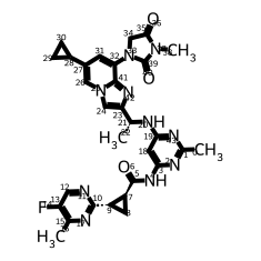 Cc1nc(NC(=O)[C@H]2C[C@@H]2c2ncc(F)c(C)n2)cc(N[C@H](C)c2cn3cc(C4CC4)cc(N4CC(=O)N(C)C4=O)c3n2)n1